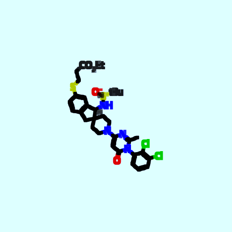 CCOC(=O)CCSc1ccc2c(c1)[C@@H](N[S@+]([O-])C(C)(C)C)C1(CCN(c3cc(=O)n(-c4cccc(Cl)c4Cl)c(C)n3)CC1)C2